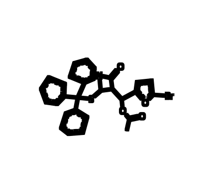 CC(=O)OC(c1ccc(Br)o1)C1C(=O)NC1SC(c1ccccc1)(c1ccccc1)c1ccccc1